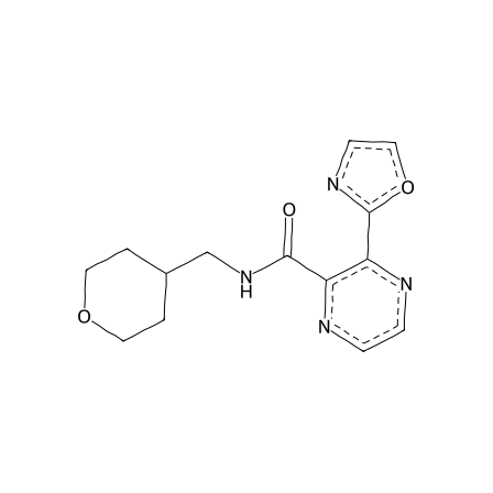 O=C(NCC1CCOCC1)c1nccnc1-c1ncco1